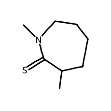 CC1CCCCN(C)C1=S